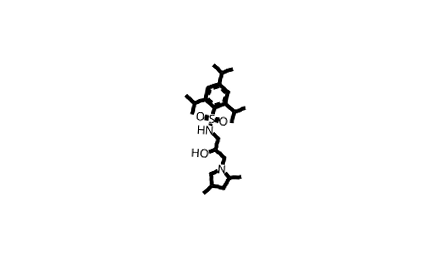 CC1CC(C)N(CC(O)CNS(=O)(=O)c2c(C(C)C)cc(C(C)C)cc2C(C)C)C1